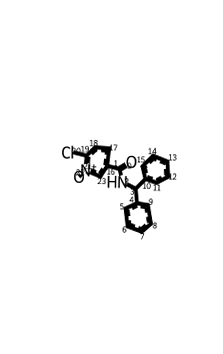 O=C(NC(c1ccccc1)c1ccccc1)c1ccc(Cl)[n+]([O-])c1